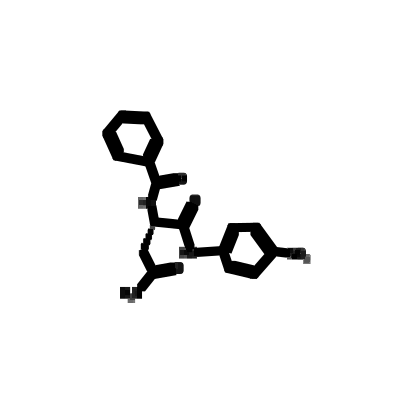 NC(=O)C[C@H](NC(=O)c1ccccc1)C(=O)Nc1ccc([N+](=O)[O-])cc1